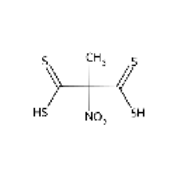 CC(C(=S)S)(C(=S)S)[N+](=O)[O-]